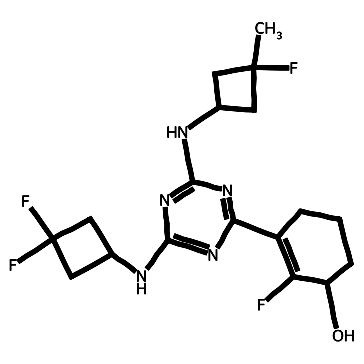 CC1(F)CC(Nc2nc(NC3CC(F)(F)C3)nc(C3=C(F)C(O)CCC3)n2)C1